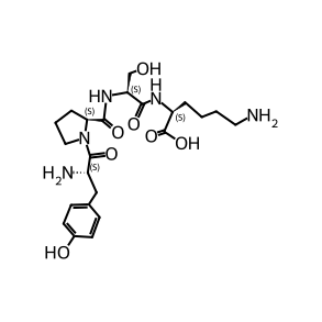 NCCCC[C@H](NC(=O)[C@H](CO)NC(=O)[C@@H]1CCCN1C(=O)[C@@H](N)Cc1ccc(O)cc1)C(=O)O